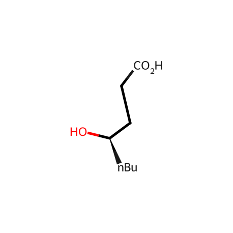 CCCC[C@@H](O)CCC(=O)O